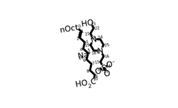 CCCCCCCCC=CCCCCCCCC(=O)O.O=S(=O)([O-])CCN1CCN(CCO)CC1.[Na+]